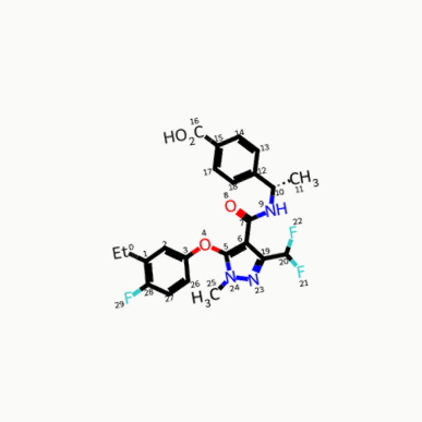 CCc1cc(Oc2c(C(=O)N[C@@H](C)c3ccc(C(=O)O)cc3)c(C(F)F)nn2C)ccc1F